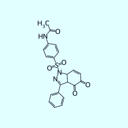 CC(=O)Nc1ccc(S(=O)(=O)N2N=C(c3ccccc3)C3C(=O)C(=O)C=CC32)cc1